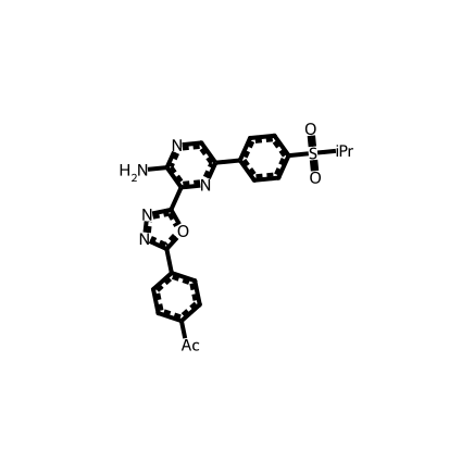 CC(=O)c1ccc(-c2nnc(-c3nc(-c4ccc(S(=O)(=O)C(C)C)cc4)cnc3N)o2)cc1